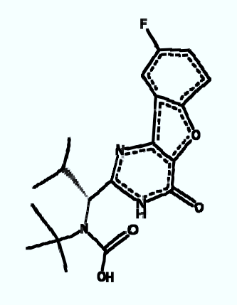 CC(C)[C@H](c1nc2c(oc3ccc(F)cc32)c(=O)[nH]1)N(C(=O)O)C(C)(C)C